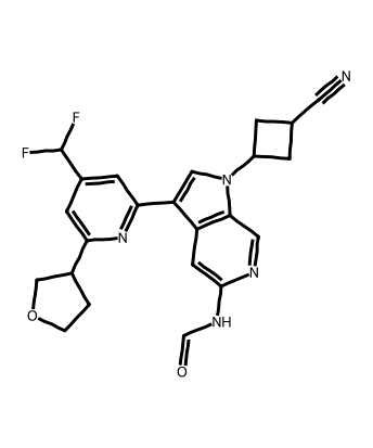 N#CC1CC(n2cc(-c3cc(C(F)F)cc(C4CCOC4)n3)c3cc(NC=O)ncc32)C1